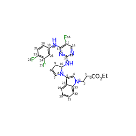 CCOC(=O)CCn1cc(N2C=CCC2Nc2ncc(F)c(Nc3ccc(F)c(F)c3)n2)c2ccccc21